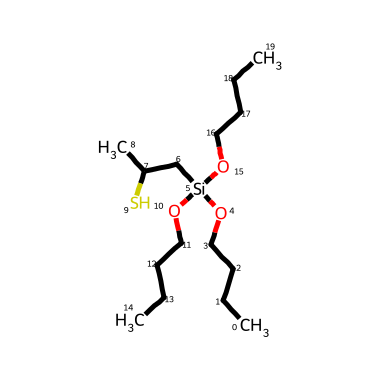 CCCCO[Si](CC(C)S)(OCCCC)OCCCC